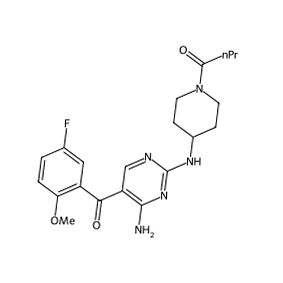 CCCC(=O)N1CCC(Nc2ncc(C(=O)c3cc(F)ccc3OC)c(N)n2)CC1